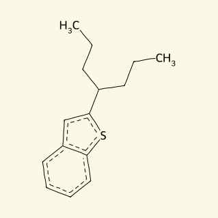 CCCC(CCC)c1cc2ccccc2s1